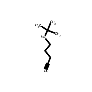 C#CCCCNC(C)(C)C